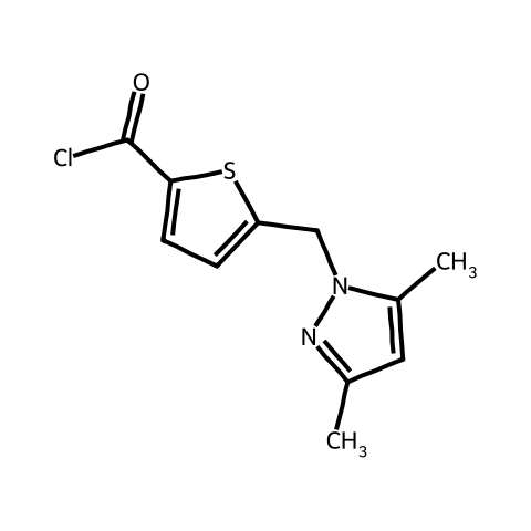 Cc1cc(C)n(Cc2ccc(C(=O)Cl)s2)n1